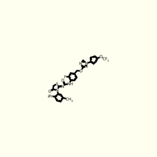 Cc1ccc(C(C)C)c(N2C(=O)CSC2=NC(=O)Nc2ccc(COc3ncn(-c4ccc(OC(F)(F)F)cc4)n3)cc2F)c1